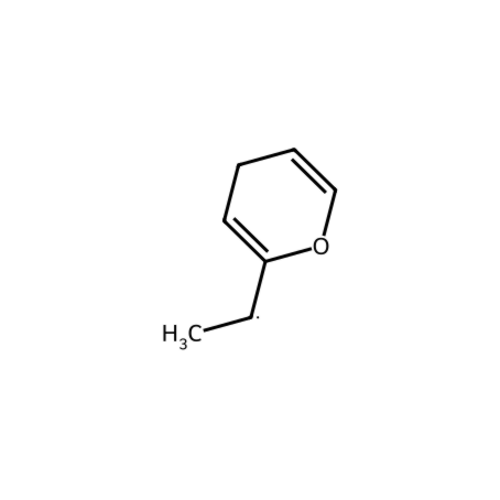 C[CH]C1=CCC=CO1